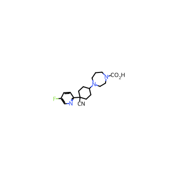 N#CC1(c2ccc(F)cn2)CCC(N2CCCN(C(=O)O)CC2)CC1